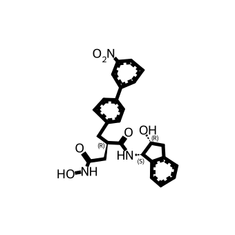 O=C(C[C@@H](Cc1ccc(-c2cccc([N+](=O)[O-])c2)cc1)C(=O)N[C@H]1c2ccccc2C[C@H]1O)NO